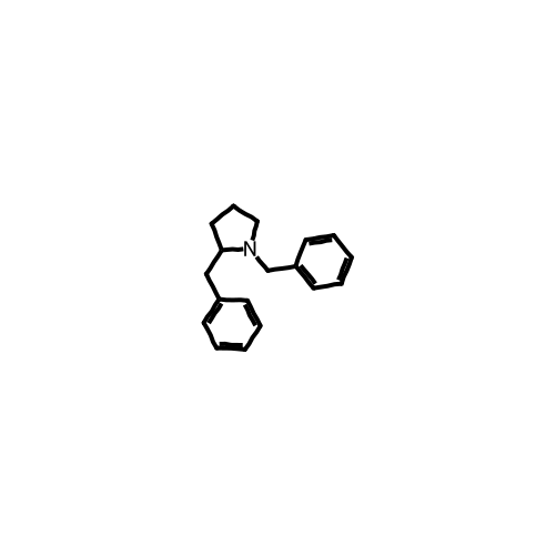 c1ccc(CC2CCCN2Cc2ccccc2)cc1